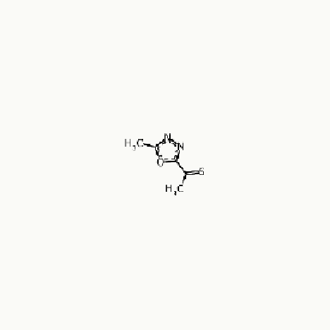 CC(=S)c1nnc(C)o1